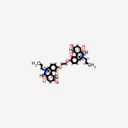 C=CCN1CC[C@]23c4c5ccc(OCCOc6ccc7c8c6O[C@H]6C(=O)CC[C@@]9(O)[C@@H](C7)N(CC=C)CC[C@]869)c4O[C@H]2C(=O)CC[C@@]3(O)[C@H]1C5